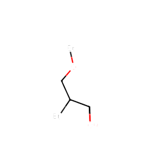 CCOC[C](CC)CO